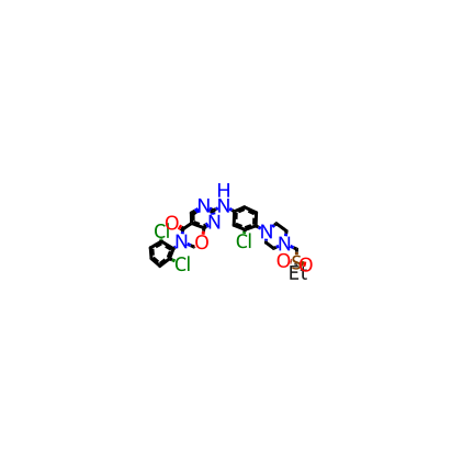 CCS(=O)(=O)CN1CCN(c2ccc(Nc3ncc4c(n3)OCN(c3c(Cl)cccc3Cl)C4=O)cc2Cl)CC1